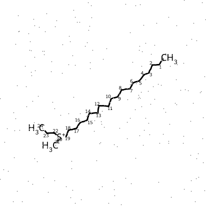 CCCCCCCCCCCCCCCCCCCC[S+](C)CCC